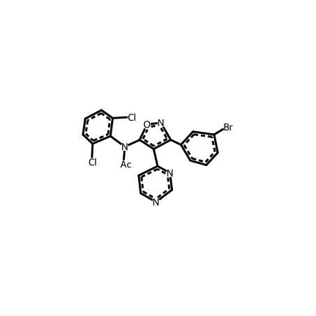 CC(=O)N(c1onc(-c2cccc(Br)c2)c1-c1ccncn1)c1c(Cl)cccc1Cl